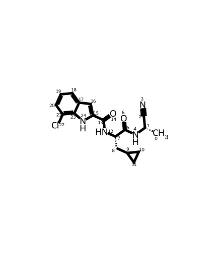 C[C@@H](C#N)NC(=O)[C@H](CC1CC1)NC(=O)c1cc2cccc(Cl)c2[nH]1